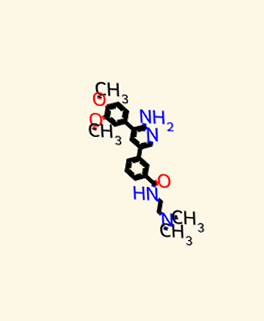 COc1ccc(-c2cc(-c3cccc(C(=O)NCCN(C)C)c3)cnc2N)cc1OC